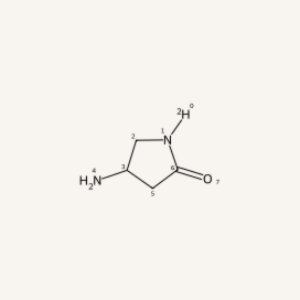 [2H]N1CC(N)CC1=O